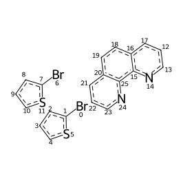 Brc1cccs1.Brc1cccs1.c1cnc2c(c1)ccc1cccnc12